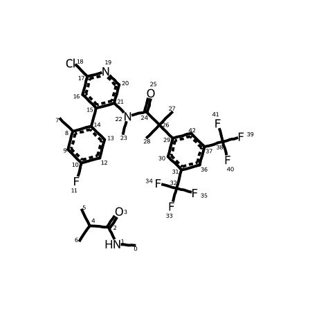 CNC(=O)C(C)C.Cc1cc(F)ccc1-c1cc(Cl)ncc1N(C)C(=O)C(C)(C)c1cc(C(F)(F)F)cc(C(F)(F)F)c1